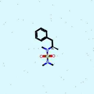 C[C@H](Cc1ccccc1)N(C)S(=O)(=O)N(C)C